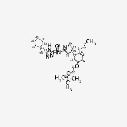 CCCCc1ccc(OCCOC(C)(C)C)cc1-c1ccnc(NC(=O)c2nnc(CC3CCCCC3)[nH]2)c1